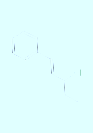 CCC(Cl)C=Cc1ccccc1